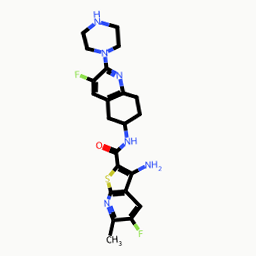 Cc1nc2sc(C(=O)NC3CCc4nc(N5CCNCC5)c(F)cc4C3)c(N)c2cc1F